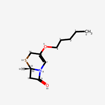 CCCCCOC1=CN2C(=O)C[C@@H]2SC1